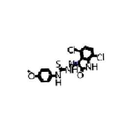 COc1ccc(NC(=S)N/N=C2\C(=O)Nc3c(Cl)ccc(Cl)c32)cc1